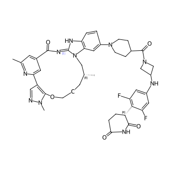 Cc1cc2cc(n1)-c1cnn(C)c1OCCC[C@@H](C)CN1/C(=N/C2=O)Nc2ccc(N3CCC(C(=O)N4CC(Nc5cc(F)c([C@H]6CCC(=O)NC6=O)c(F)c5)C4)CC3)cc21